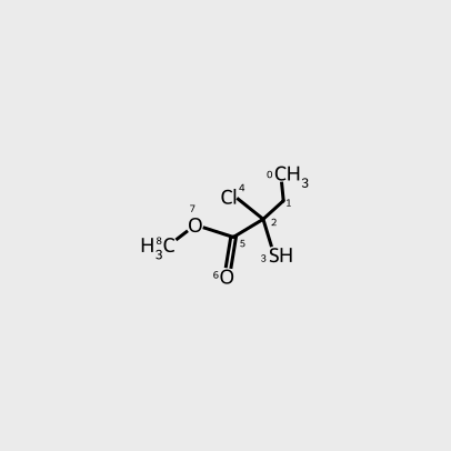 CCC(S)(Cl)C(=O)OC